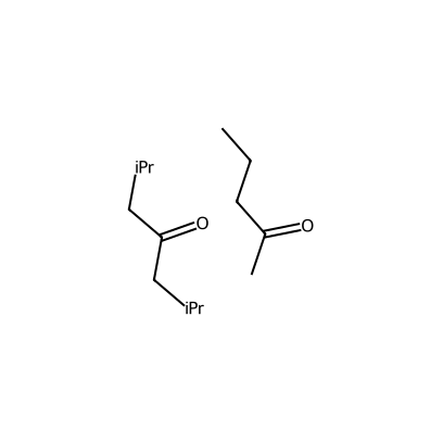 CC(C)CC(=O)CC(C)C.CCCC(C)=O